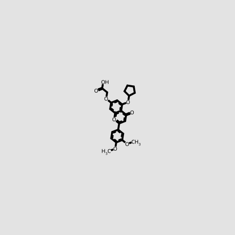 COc1ccc(-c2cc(=O)c3c(OC4CCCC4)cc(OCC(=O)O)cc3o2)cc1OC